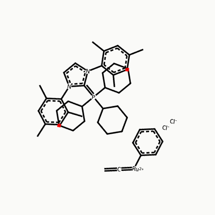 C=[C]=[Ru+2][c]1ccccc1.Cc1cc(C)c(-n2ccn(-c3c(C)cc(C)cc3C)c2=P(C2CCCCC2)(C2CCCCC2)C2CCCCC2)c(C)c1.[Cl-].[Cl-]